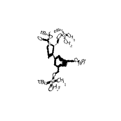 CCCOc1cc(CO[Si](C)(C)C(C)(C)C)cc([C@H]2CCN(C(=O)OC(C)(C)C)[C@@H]2CO[Si](C)(C)C(C)(C)C)c1